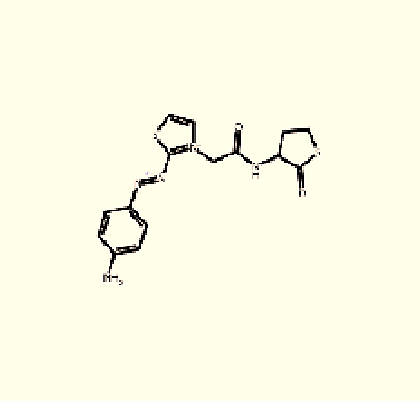 Nc1ccc(/N=N/c2scc[n+]2CC(=O)NC2CCSC2=O)cc1